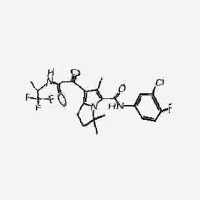 Cc1c(C(=O)C(=O)NC(C)C(F)(F)F)c2n(c1C(=O)Nc1ccc(F)c(Cl)c1)C(C)(C)CC2